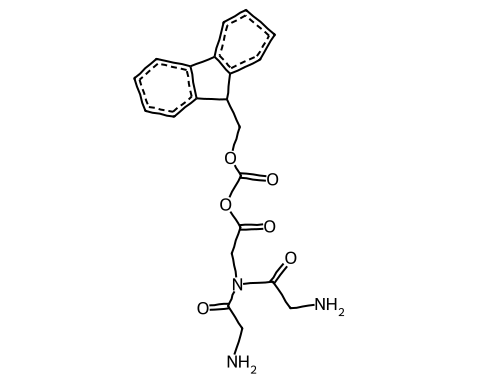 NCC(=O)N(CC(=O)OC(=O)OCC1c2ccccc2-c2ccccc21)C(=O)CN